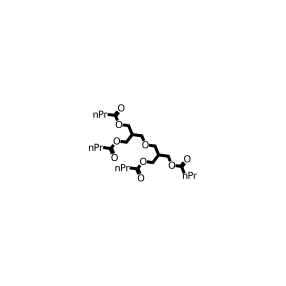 CCCC(=O)OCC(COCC(COC(=O)CCC)COC(=O)CCC)COC(=O)CCC